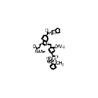 CNC(=O)CCc1cn(Cc2ccc(C(=O)NS(=O)(=O)c3ccccc3C)cc2OC)c2cc(C(=O)NCC3CCCC3)ccc12